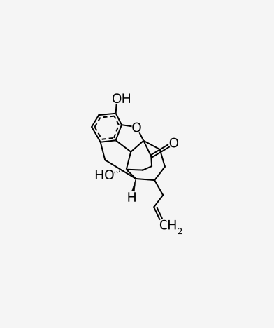 C=CCC1CCC23Oc4c(O)ccc5c4C2[C@@](O)(CCC3=O)[C@H]1C5